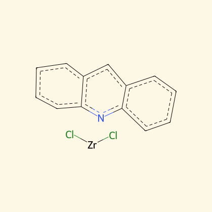 [Cl][Zr][Cl].c1ccc2nc3ccccc3cc2c1